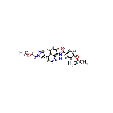 COCCn1cc(-c2ccnc3c(NC(=O)c4ccc(OC(C)C)cc4)cccc23)cn1